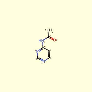 [CH2]C(=O)Nc1ccncn1